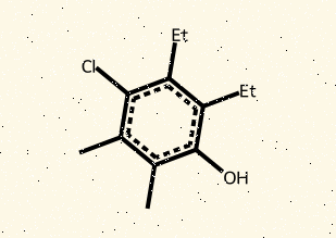 CCc1c(O)c(C)c(C)c(Cl)c1CC